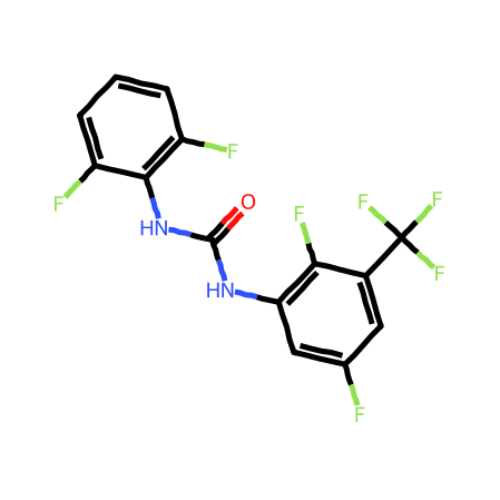 O=C(Nc1cc(F)cc(C(F)(F)F)c1F)Nc1c(F)cccc1F